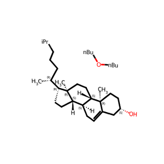 CC(C)CCC[C@@H](C)[C@H]1CC[C@H]2[C@@H]3CC=C4C[C@@H](O)CC[C@]4(C)[C@H]3CC[C@]12C.CCCCOCCCC